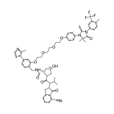 Cc1ccc(N2C(=O)C(C)(C)N(c3ccc(OCCOCCOCCOc4cc(-c5scnc5C)ccc4CNC(=O)[C@@H]4C[C@@H](O)CC4C(=O)C(C(C)C)C4Cc5cccc(C#N)c5C4=O)cc3)C2=S)cc1C(F)(F)F